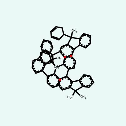 CC1(C)c2ccccc2-c2c(-c3ccccc3N(c3ccccc3-c3ccc4c(c3)C(C)(C3C=CC=CC3)c3ccccc3-4)c3ccccc3-c3cccc4c3C(C)(C)c3ccccc3-4)cccc21